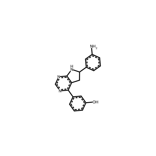 Nc1cccc(C2Cc3c(ncnc3-c3cccc(O)c3)N2)c1